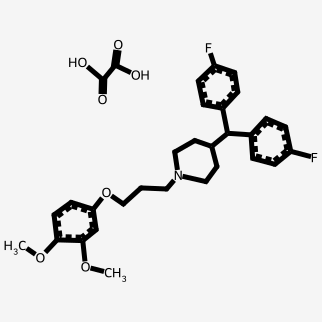 COc1ccc(OCCCN2CCC(C(c3ccc(F)cc3)c3ccc(F)cc3)CC2)cc1OC.O=C(O)C(=O)O